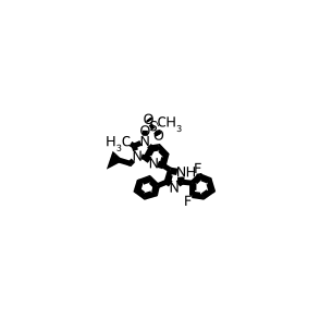 CC1N(CC2CC2)c2nc(-c3[nH]c(-c4c(F)cccc4F)nc3-c3ccccc3)ccc2N1OS(C)(=O)=O